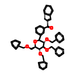 O=C(C1=Cc2ccccc2C1)c1cccc(C2O[C@H](COCc3ccccc3)[C@@H](OCc3ccccc3)[C@H](OCc3ccccc3)[C@H]2OCc2ccccc2)c1